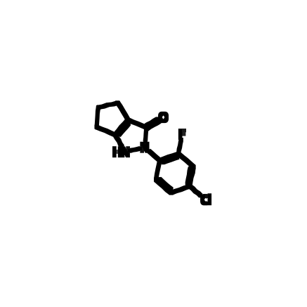 O=c1c2c([nH]n1-c1ccc(Cl)cc1F)CCC2